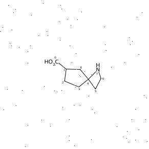 O=C(O)C1CCC2(CCN2)C1